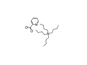 CCCC[N+](CCCC)(CCCC)CCCC.O=C([O-])c1ccccn1